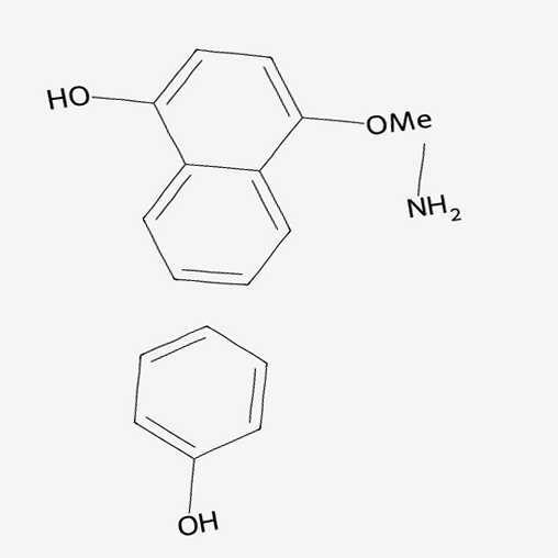 CN.COc1ccc(O)c2ccccc12.Oc1ccccc1